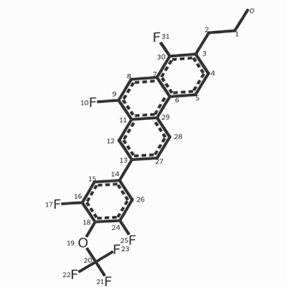 CCCc1ccc2c(cc(F)c3cc(-c4cc(F)c(OC(F)(F)F)c(F)c4)ccc32)c1F